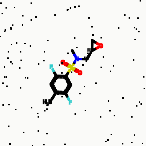 Bc1cc(F)c(S(=O)(=O)N(C)C[C@H]2CO2)cc1F